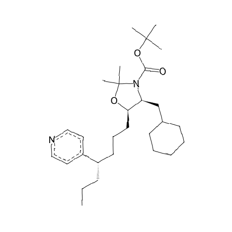 CCC[C@@H](CCC[C@H]1OC(C)(C)N(C(=O)OC(C)(C)C)[C@H]1CC1CCCCC1)c1ccncc1